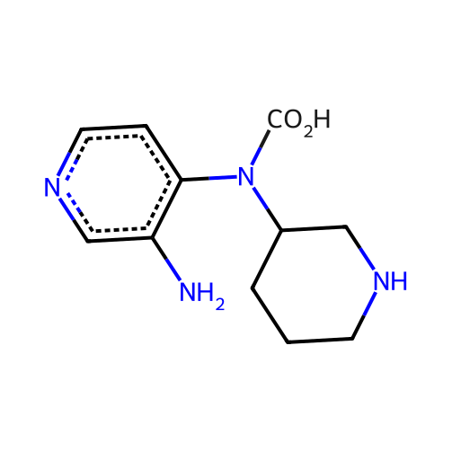 Nc1cnccc1N(C(=O)O)C1CCCNC1